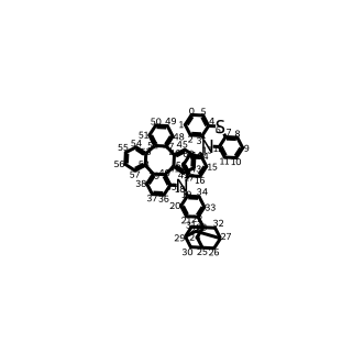 c1ccc2c(c1)Sc1ccccc1N2c1ccc(N(c2ccc(C34CC5CC(CC(C5)C3)C4)cc2)c2cccc3c2-c2ccccc2-c2ccccc2-c2ccccc2-3)cc1